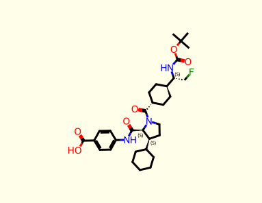 CC(C)(C)OC(=O)N[C@H](CF)[C@H]1CC[C@H](C(=O)N2CC[C@@H](C3CCCCC3)[C@H]2C(=O)Nc2ccc(C(=O)O)cc2)CC1